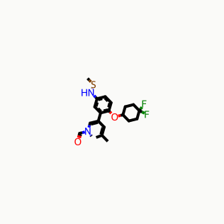 CSNc1ccc(OC2CCC(F)(F)CC2)c(/C(C=C(C)C)=C/N(C)C=O)c1